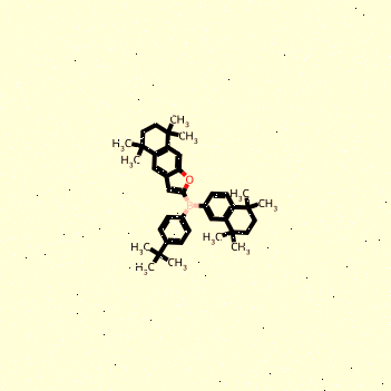 CC(C)(C)c1ccc(B(c2ccc3c(c2)C(C)(C)CCC3(C)C)c2cc3cc4c(cc3o2)C(C)(C)CCC4(C)C)cc1